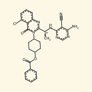 C[C@H](Nc1ncnc(N)c1C#N)c1nc2cccc(Cl)c2c(=O)n1C1CCC(OC(=O)c2ccccc2)CC1